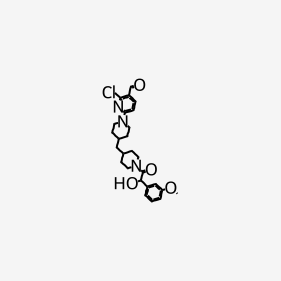 COc1cccc(C(O)C(=O)N2CCC(CC3CCN(c4ccc(C=O)c(Cl)n4)CC3)CC2)c1